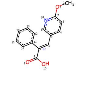 COc1ccc(/C=C(/C(=O)O)c2ccccc2)cn1